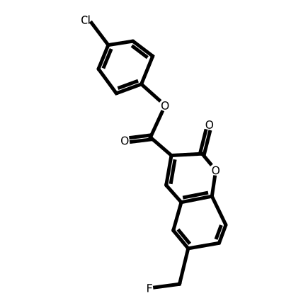 O=C(Oc1ccc(Cl)cc1)c1cc2cc(CF)ccc2oc1=O